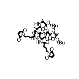 C[C@H](NC(=O)[C@@H](NC(=O)CCCN1C(=O)C=CC1=O)[C@H](NC(=O)CCCN1C(=O)C=CC1=O)C(=O)N[C@@H](C)C(=O)N[C@@H](C)C(=O)OC(C)(C)C)C(=O)N[C@@H](C)C(=O)OC(C)(C)C